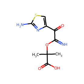 CC(C)(OC(=N)C(=O)c1csc(N)n1)C(=O)O